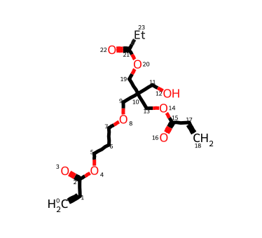 C=CC(=O)OCCCOCC(CO)(COC(=O)C=C)COC(=O)CC